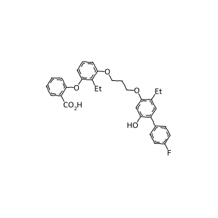 CCc1cc(-c2ccc(F)cc2)c(O)cc1OCCCOc1cccc(Oc2ccccc2C(=O)O)c1CC